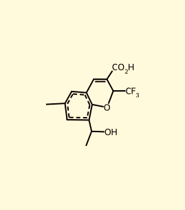 Cc1cc2c(c(C(C)O)c1)OC(C(F)(F)F)C(C(=O)O)=C2